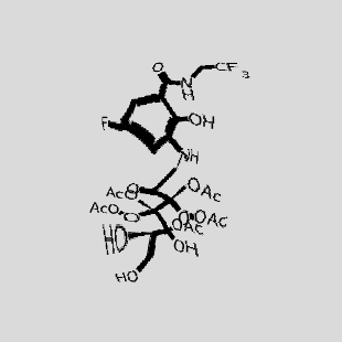 CC(=O)OO[C@@](OC(C)=O)(C(=O)Nc1cc(F)cc(C(=O)NCC(F)(F)F)c1O)[C@](OOC(C)=O)(OC(C)=O)[C@@](O)(OC(C)=O)[C@H](O)CO